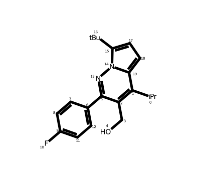 CC(C)c1c(CO)c(-c2ccc(F)cc2)nn2c(C(C)(C)C)ccc12